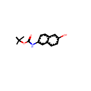 CC(C)(C)OC(=O)Nc1ccc2cc(O)ccc2c1